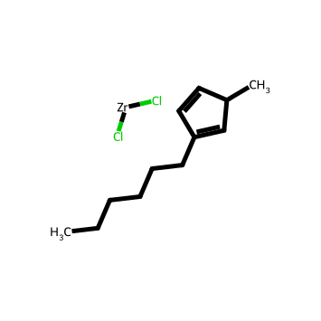 CCCCCCC1=C[C](C)C=C1.[Cl][Zr][Cl]